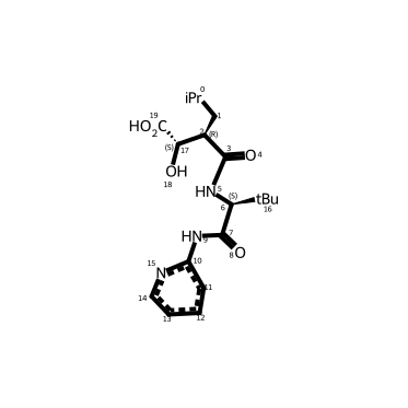 CC(C)C[C@@H](C(=O)N[C@H](C(=O)Nc1ccccn1)C(C)(C)C)[C@H](O)C(=O)O